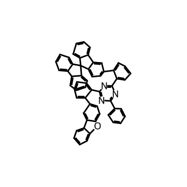 c1ccc(-c2nc(-c3ccccc3-c3ccc4c(c3)-c3ccccc3C43c4ccccc4-c4ccccc43)nc(-c3ccccc3-c3ccc4oc5ccccc5c4c3)n2)cc1